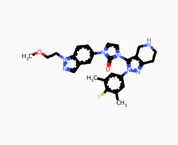 COCCn1ncc2cc(-n3ccn(-c4c5c(nn4-c4cc(C)c(F)c(C)c4)CCNC5)c3=O)ccc21